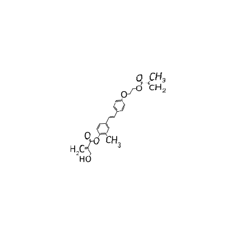 C=C(C)C(=O)OCCOc1ccc(/C=C/c2ccc(OC(=O)C(=C)CO)c(C)c2)cc1